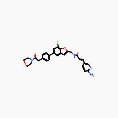 Nc1ccc(/C=C/C(=O)NCc2cc3cc(-c4ccc(CC(=O)N5CCOCC5)cc4)cc(Cl)c3o2)cn1